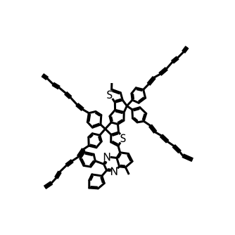 C#CC#CC#CC#Cc1ccc(C2(c3ccc(C#CC#CC#CC#C)cc3)c3cc4c(cc3-c3sc(C)cc32)C(c2ccc(C#CC#CC#CC#C)cc2)(c2ccc(C#CC#CC#CC#C)cc2)c2cc(-c3ccc(C)c5nc(-c6ccccc6)c(-c6ccccc6)nc35)sc2-4)cc1